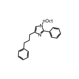 CCCCCCCCn1cc(CCCc2ccccc2)nc1-c1ccccc1